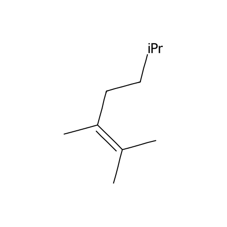 CC(C)=C(C)CCC(C)C